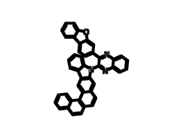 c1ccc2c(c1)ccc1ccc3cc4c(cc3c12)c1ccccc1n4-c1nc2ccccc2nc1-c1ccc2c(c1)oc1ccccc12